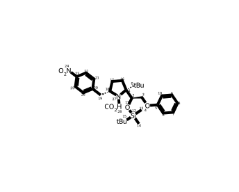 CC(C)(C)[C@@]1([C@@H](COc2ccccc2)O[Si](C)(C)C(C)(C)C)CC[C@@H](Cc2ccc([N+](=O)[O-])cc2)N1C(=O)O